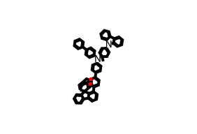 CC1(N(c2ccc(-c3ccccc3)cc2)c2ccc(-c3ccc(-c4cccc5c4C4(c6ccccc6-5)C5CC6CC(C5)CC4C6)cc3)cc2)C=CC(n2c3ccccc3c3ccccc32)=CC1